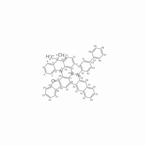 CC1(C)c2ccccc2N2c3c(cccc31)B1c3c(cc4c(oc5ccccc54)c32)-c2cc3ccccc3cc2N1c1ccc(-c2ccccc2)cc1